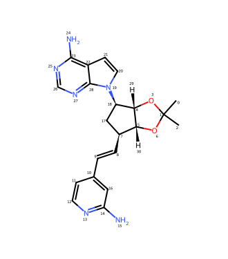 CC1(C)O[C@@H]2[C@H](O1)[C@@H](/C=C/c1ccnc(N)c1)C[C@H]2n1ccc2c(N)ncnc21